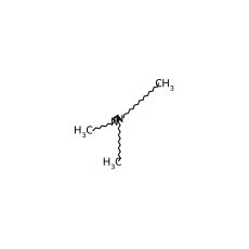 CCCCCCCCCCCCCCCCn1cc[n+](CCCCCCCC)c1CCCCCCCCCCCC